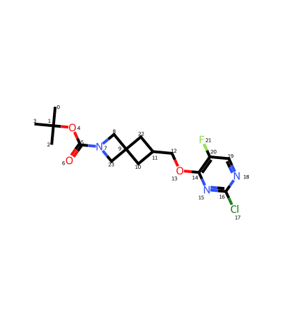 CC(C)(C)OC(=O)N1CC2(CC(COc3nc(Cl)ncc3F)C2)C1